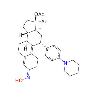 CC(=O)O[C@]1(C(C)=O)CC[C@H]2[C@@H]3CCC4=CC(=NO)CCC4=C3[C@@H](c3ccc(N4CCCCC4)cc3)C[C@@]21C